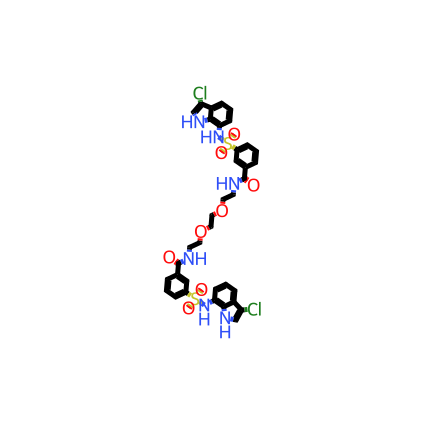 O=C(NCCOCCOCCNC(=O)c1cccc(S(=O)(=O)Nc2cccc3c(Cl)c[nH]c23)c1)c1cccc(S(=O)(=O)Nc2cccc3c(Cl)c[nH]c23)c1